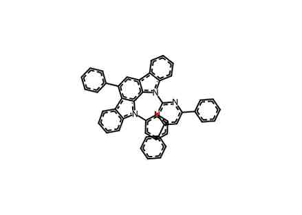 c1ccc(-c2cc(-c3ccccc3)nc(-n3c4ccccc4c4cc(-c5ccccc5)c5c6ccccc6n(-c6ccccc6)c5c43)n2)cc1